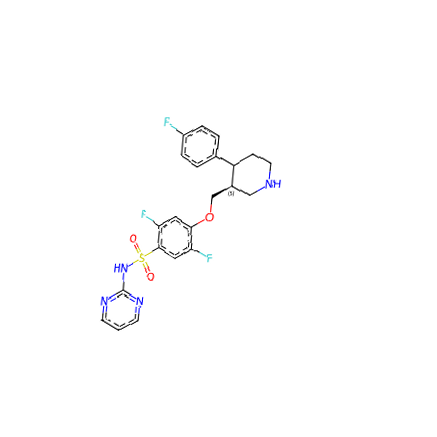 O=S(=O)(Nc1ncccn1)c1cc(F)c(OC[C@@H]2CNCCC2c2ccc(F)cc2)cc1F